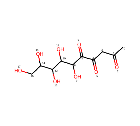 CC(=O)CC(=O)C(=O)C(O)C(O)C(O)C(O)CO